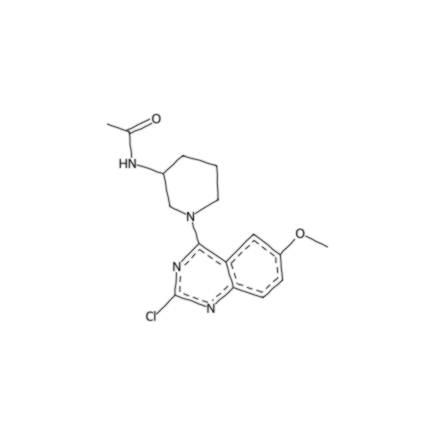 COc1ccc2nc(Cl)nc(N3CCCC(NC(C)=O)C3)c2c1